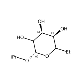 CCC1O[C@H](OC(C)C)C(O)[C@@H](O)[C@H]1O